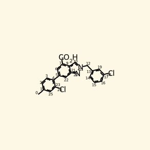 Cc1ccc(-c2cc(C(=O)O)c3cn(Cc4cccc(Cl)c4)nc3c2)c(Cl)c1